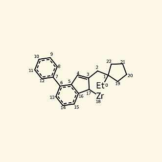 CCC1(CC2=Cc3c(-c4ccccc4)cccc3[CH]2[Zr])CCCC1